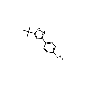 CC(C)(C)c1cc(-c2ccc(N)cc2)no1